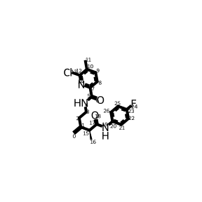 C=C(CCNC(=O)c1ccc(C)c(Cl)n1)[C@H](C)C(=O)Nc1ccc(F)cc1